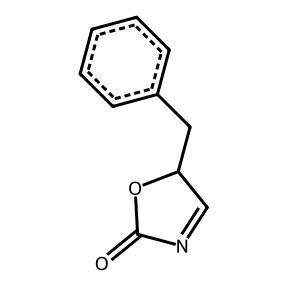 O=C1N=CC(Cc2ccccc2)O1